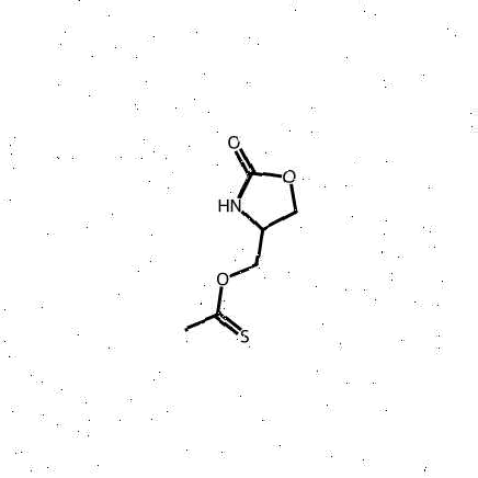 CC(=S)OCC1COC(=O)N1